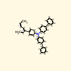 C=C/C(=C\C=C/C)C1=CCC(N(c2ccc(-c3ccccc3)cc2)c2ccc(-c3ccccc3)cc2)C=C1